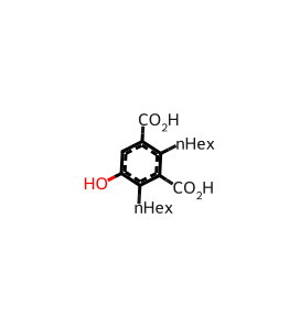 CCCCCCc1c(O)cc(C(=O)O)c(CCCCCC)c1C(=O)O